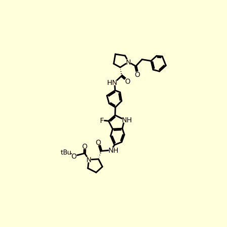 CC(C)(C)OC(=O)N1CCC[C@H]1C(=O)Nc1ccc2[nH]c(-c3ccc(NC(=O)[C@@H]4CCCN4C(=O)Cc4ccccc4)cc3)c(F)c2c1